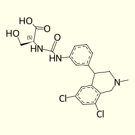 CN1Cc2c(Cl)cc(Cl)cc2C(c2cccc(NC(=O)N[C@@H](CO)C(=O)O)c2)C1